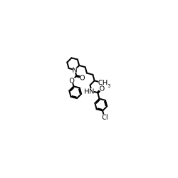 CC(CCCC1CCCCN1C(=O)Oc1ccccc1)CNC(=O)c1ccc(Cl)cc1